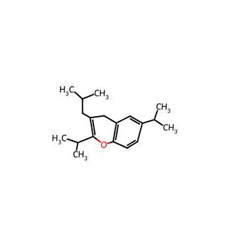 CC(C)CC1=C(C(C)C)Oc2ccc(C(C)C)cc2C1